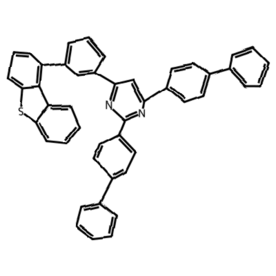 c1ccc(-c2ccc(-c3cc(-c4cccc(-c5cccc6sc7ccccc7c56)c4)nc(-c4ccc(-c5ccccc5)cc4)n3)cc2)cc1